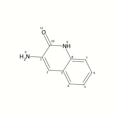 Nc1cc2ccccc2[nH]c1=O